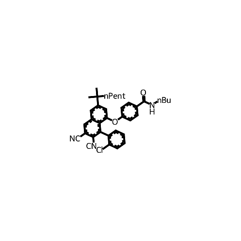 CCCCCC(C)(C)c1cc(Oc2ccc(C(=O)NCCCC)cc2)c2c(-c3ccccc3Cl)c(C#N)c(C#N)cc2c1